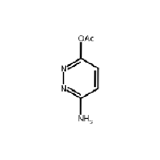 CC(=O)Oc1ccc(N)nn1